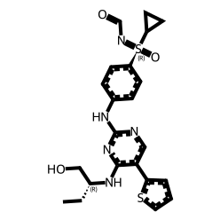 CC[C@H](CO)Nc1nc(Nc2ccc([S@@](=O)(=NC=O)C3CC3)cc2)ncc1-c1cccs1